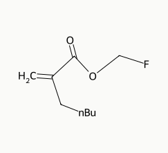 C=C(CCCCC)C(=O)OCF